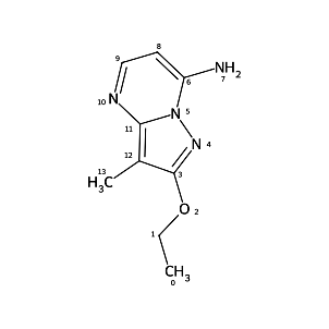 CCOc1nn2c(N)ccnc2c1C